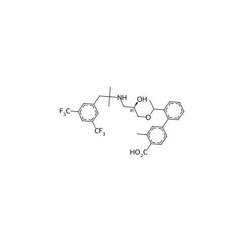 Cc1cc(-c2ccccc2C(C)OC[C@H](O)CNC(C)(C)Cc2cc(C(F)(F)F)cc(C(F)(F)F)c2)ccc1C(=O)O